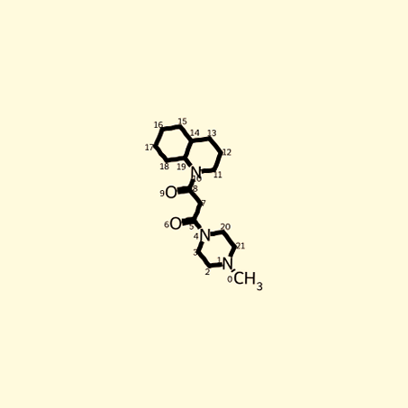 CN1CCN(C(=O)CC(=O)N2CCCC3CCCCC32)CC1